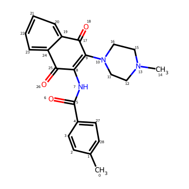 Cc1ccc(C(=O)NC2=C(N3CCN(C)CC3)C(=O)c3ccccc3C2=O)cc1